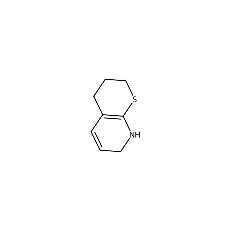 C1=CC2=C(NC1)SCCC2